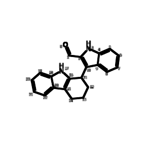 O=Cc1[nH]c2ccccc2c1C1CCCc2c1[nH]c1ccccc21